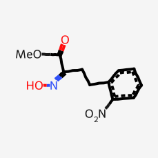 COC(=O)C(CCc1ccccc1[N+](=O)[O-])=NO